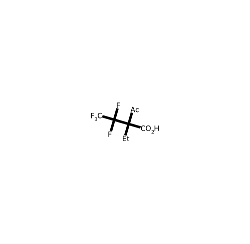 CCC(C(C)=O)(C(=O)O)C(F)(F)C(F)(F)F